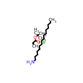 Br.C=CC(=O)OC(C)(C)C.CCCCCCCCCCCCCCCCN